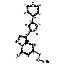 CC(C)(C)OCc1cc(=O)n2ncc(-c3cc(-c4ccccc4)cs3)c2[nH]1